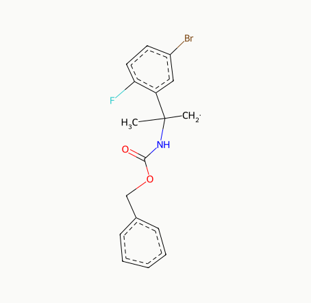 [CH2]C(C)(NC(=O)OCc1ccccc1)c1cc(Br)ccc1F